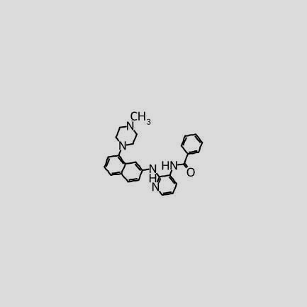 CN1CCN(c2cccc3ccc(Nc4ncccc4NC(=O)c4ccccc4)cc23)CC1